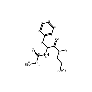 COCCN(C)C(=O)C(Cc1ccccc1)NC(=O)OC(C)(C)C